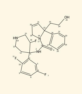 O=C(NC1(c2cc(F)ccc2F)CCNCC1F)N1CC=CC1(CCO)c1ccccc1